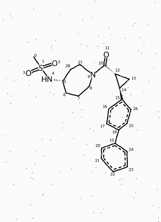 CS(=O)(=O)N[C@H]1CCCN(C(=O)[C@@H]2C[C@H]2c2ccc(-c3ccccc3)cc2)CC1